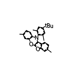 Cc1ccc2c(c1)Oc1oc3cc(C)ccc3c1N2c1c(C)cc(C(C)(C)C)cc1C